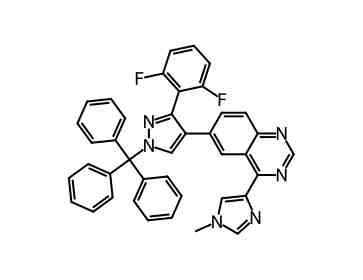 Cn1cnc(-c2ncnc3ccc(-c4cn(C(c5ccccc5)(c5ccccc5)c5ccccc5)nc4-c4c(F)cccc4F)cc23)c1